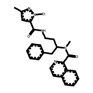 CCn1nc(C)cc1C(=O)NCCC(Cc1ccccc1)N(C)C(=O)c1nccc2ccccc12